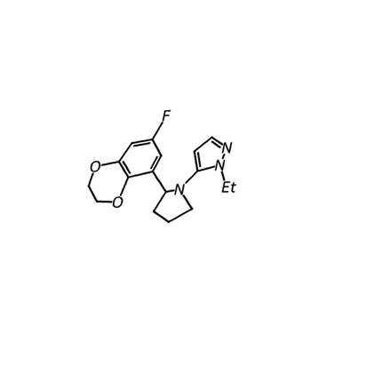 CCn1nccc1N1CCCC1c1cc(F)cc2c1OCCO2